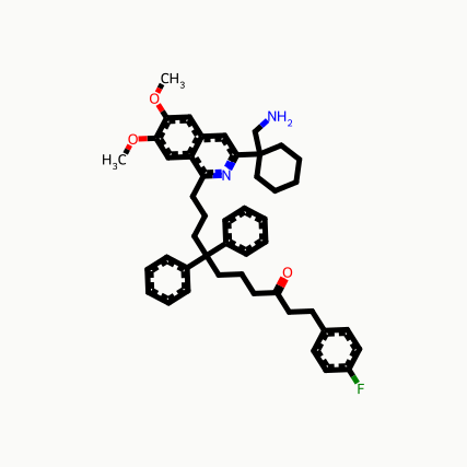 COc1cc2cc(C3(CN)CCCCC3)nc(CCCC(CCCC(=O)CCc3ccc(F)cc3)(c3ccccc3)c3ccccc3)c2cc1OC